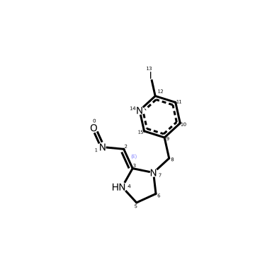 O=N/C=C1\NCCN1Cc1ccc(I)nc1